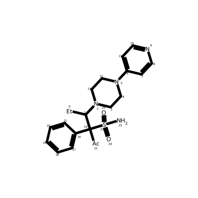 CCC(N1CCN(c2ccncc2)CC1)C(C(C)=O)(c1ccccc1)S(N)(=O)=O